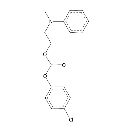 CN(CCOC(=O)Oc1ccc(Cl)cc1)c1ccccc1